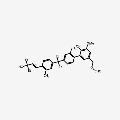 CCC(O)(/C=C/c1ccc(C(CC)(CC)c2ccc(-c3cc(COC=O)cc(OC)c3O)c(C)c2)cc1C)CC